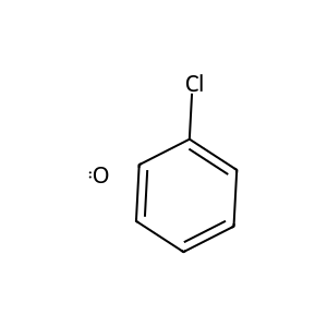 Clc1ccccc1.[O]